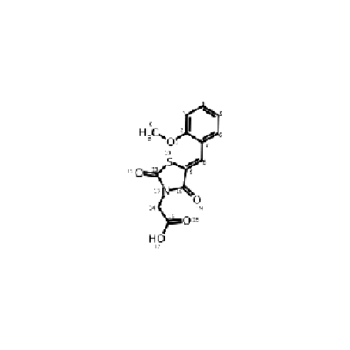 COc1ccccc1/C=C1\SC(=O)N(CC(=O)O)C1=O